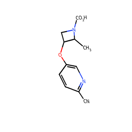 CC1C(Oc2ccc(C#N)nc2)CN1C(=O)O